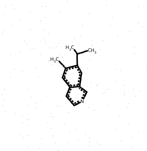 Cc1cc2ccncc2cc1C(C)C